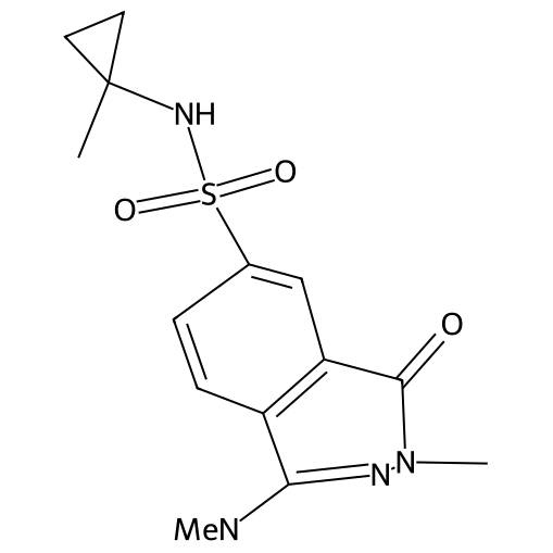 CNc1nn(C)c(=O)c2cc(S(=O)(=O)NC3(C)CC3)ccc12